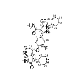 NC(=O)c1c(-c2ccc(Oc3ccnc4[nH]c(=O)n(C5CCOCC5)c34)c(F)c2)nn(-c2ccccc2)c1C(F)(F)F